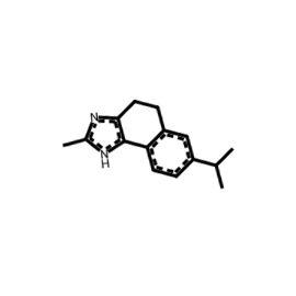 Cc1nc2c([nH]1)-c1ccc(C(C)C)cc1CC2